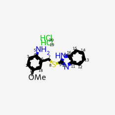 COc1ccc(N)c(CSc2nc3ccccc3[nH]2)c1.Cl.Cl